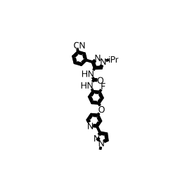 CC(C)n1cc(NC(=O)Nc2ccc(Oc3ccnc(-c4ccn(C)n4)c3)cc2F)c(-c2cccc(C#N)c2)n1